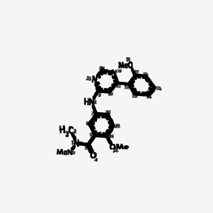 CNN(C)C(=O)c1cc(Nc2cc(-c3ccccc3OC)ncn2)ccc1OC